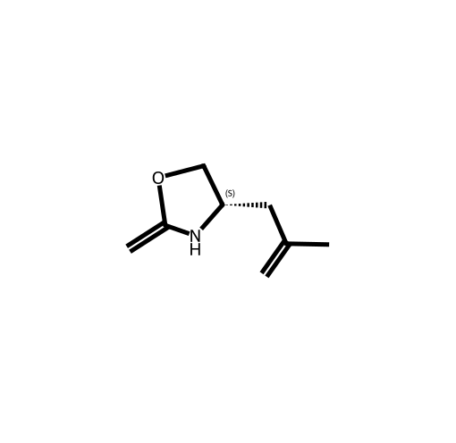 C=C(C)C[C@H]1COC(=C)N1